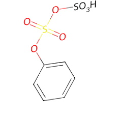 O=S(=O)(O)OS(=O)(=O)Oc1ccccc1